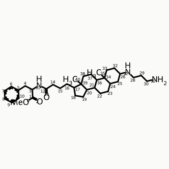 COC(=O)C(Cc1ccccc1)NC(=O)CCCC1CCC2C3CCC4CC(NCCCN)CCC4(C)C3CCC12C